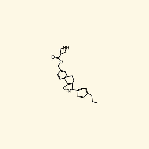 CCCc1ccc(-c2noc3c2CCc2cc(COC(=O)C4CNC4)ccc2-3)cc1